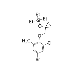 CC[Si](CC)(CC)OC1(COc2c(C)cc(Br)cc2Cl)CC1